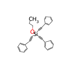 CCCO[Si](C#Cc1ccccc1)(C#Cc1ccccc1)C#Cc1ccccc1